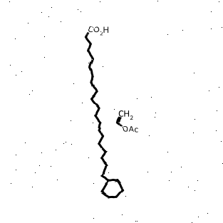 C=COC(C)=O.O=C(O)CCCCCCCCCCCCCCCCCCCC1CCCCC1